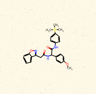 COc1ccc(C(NC(=O)Cc2noc3ccccc23)C(=O)Nc2ccc(S(C)(C)C)cc2)cc1